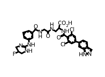 O=C(CNC(=O)c1cccc(NC2=NCC(F)CN2)c1)NCC(NC(=O)c1c(Cl)cc(-c2ccc3cn[nH]c3c2)cc1Cl)C(=O)O